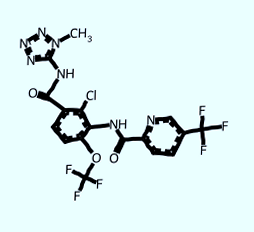 Cn1nnnc1NC(=O)c1ccc(OC(F)(F)F)c(NC(=O)c2ccc(C(F)(F)F)cn2)c1Cl